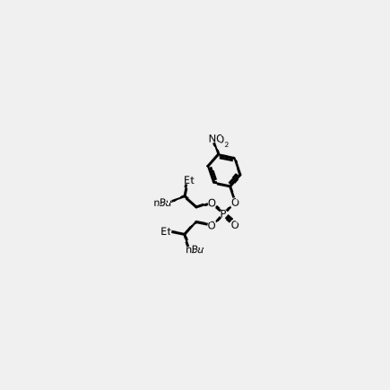 CCCCC(CC)COP(=O)(OCC(CC)CCCC)Oc1ccc([N+](=O)[O-])cc1